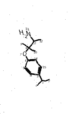 CC(C)c1ccc(OC(C)(C)C(C)N)cc1